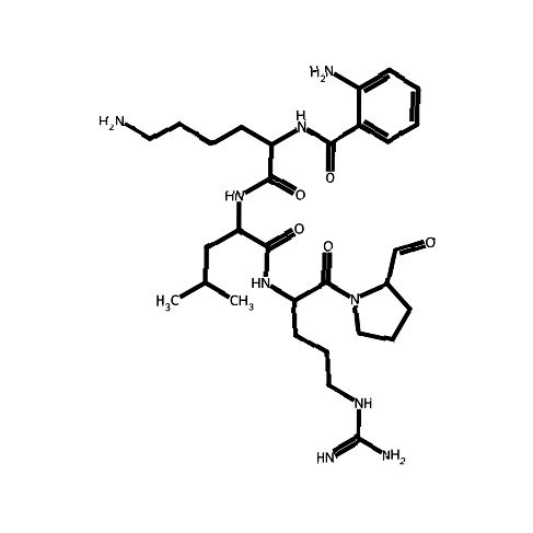 CC(C)CC(NC(=O)C(CCCCN)NC(=O)c1ccccc1N)C(=O)NC(CCCNC(=N)N)C(=O)N1CCCC1C=O